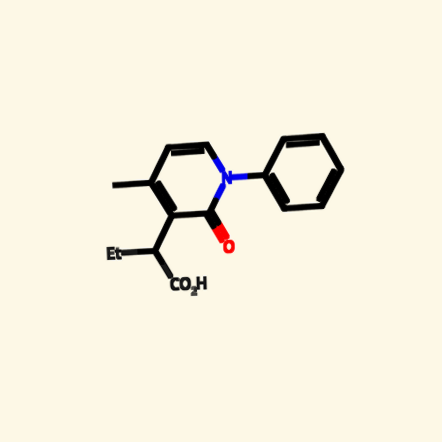 CCC(C(=O)O)c1c(C)ccn(-c2ccccc2)c1=O